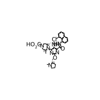 C[C@H]1CN(C(=O)O)C[C@H](C)N1c1nc(OC[C@@H]2CCCN2C)nc(C(=O)Nc2cccc3cccc(Cl)c23)c1N